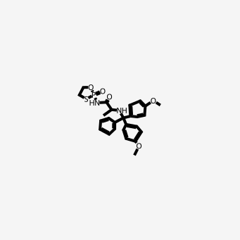 COc1ccc(C(NC(C)C(=O)NP2(=O)OCCS2)(c2ccccc2)c2ccc(OC)cc2)cc1